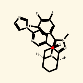 Cn1nc2c(c1-c1cc(F)c(F)c(F)c1)C[C@@H]1CCC[C@H]2N1C(=O)c1ccc(-n2ccnc2)nc1